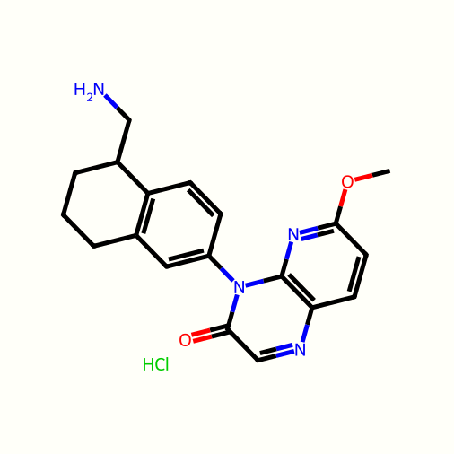 COc1ccc2ncc(=O)n(-c3ccc4c(c3)CCCC4CN)c2n1.Cl